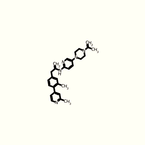 C=C(Cc1ccc(-c2ccnc(C)c2)c(C)c1)Nc1ccc(N2CCN(C(=C)C)CC2)cn1